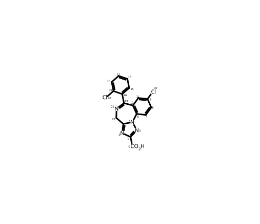 O=C(O)c1nc2n(n1)-c1ccc(Cl)cc1C(c1ccccc1Cl)=NC2